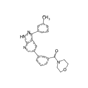 Cc1cccc(-c2n[nH]c3ncc(-c4cccc(C(=O)N5CCOCC5)c4)cc23)c1